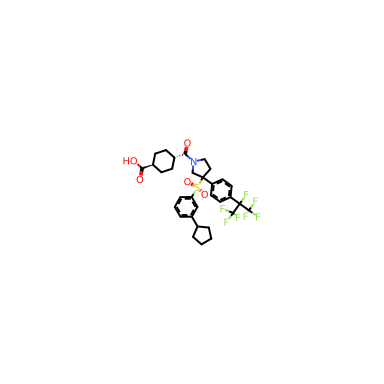 O=C(O)[C@H]1CC[C@H](C(=O)N2CCC(c3ccc(C(F)(C(F)(F)F)C(F)(F)F)cc3)(S(=O)(=O)c3cccc(C4CCCC4)c3)C2)CC1